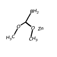 BC(OC)OC.[Zn]